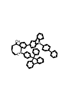 C=C1/C=C\C=C/CN(c2ccc(C3(c4ccccc4)c4ccccc4-c4ccccc43)cc2)c2cc(-c3ccc4c(c3)c3ccccc3n4-c3ccc(-c4ccccc4)cc3)ccc21